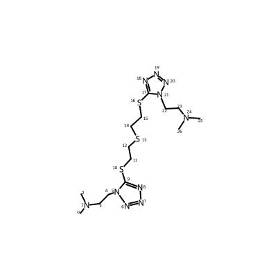 CN(C)CCn1nnnc1SCCSCCSc1nnnn1CCN(C)C